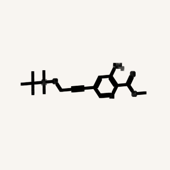 COC(=O)c1ncc(C#CCO[Si](C)(C)C(C)(C)C)cc1N